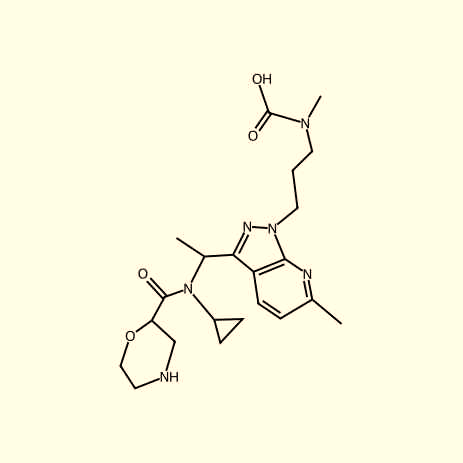 Cc1ccc2c(C(C)N(C(=O)C3CNCCO3)C3CC3)nn(CCCN(C)C(=O)O)c2n1